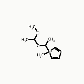 COC(C)OC(C)[N+]1(C)C=CN=C1